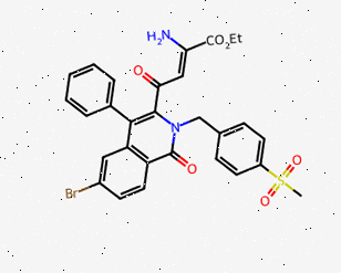 CCOC(=O)C(N)=CC(=O)c1c(-c2ccccc2)c2cc(Br)ccc2c(=O)n1Cc1ccc(S(C)(=O)=O)cc1